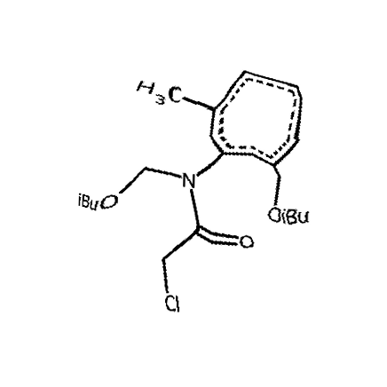 Cc1cccc(OCC(C)C)c1N(COCC(C)C)C(=O)CCl